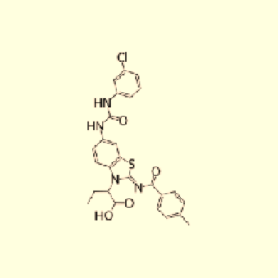 CCC(C(=O)O)n1c(=NC(=O)c2ccc(C)cc2)sc2cc(NC(=O)Nc3cccc(Cl)c3)ccc21